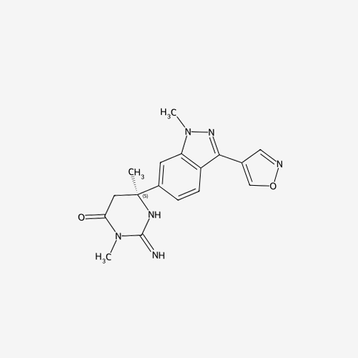 CN1C(=N)N[C@](C)(c2ccc3c(-c4cnoc4)nn(C)c3c2)CC1=O